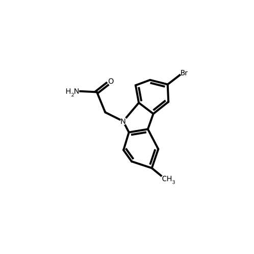 Cc1ccc2c(c1)c1cc(Br)ccc1n2CC(N)=O